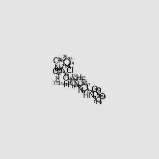 CCC(NC(=O)c1cnc(N2C[C@@H]3C[C@H]2C[C@H]3OCc2c(-c3c(Cl)cccc3Cl)noc2C2CC2)c(F)c1)[SH](=O)=O